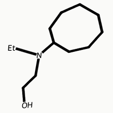 CCN(CCO)C1CCCCCCC1